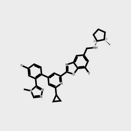 C[C@H]1CCC[C@H]1NCc1cc(F)c2oc(-c3cc(-c4ccc(F)cc4-c4nncn4C)cc(C4CC4)n3)nc2c1